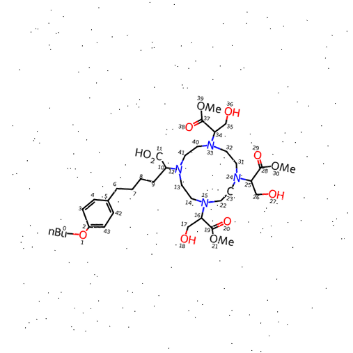 CCCCOc1ccc(CCCCC(C(=O)O)N2CCN(C(CO)C(=O)OC)CCN(C(CO)C(=O)OC)CCN(C(CO)C(=O)OC)CC2)cc1